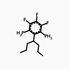 CCCC(CCC)c1c(P)c(F)c(F)c(F)c1P